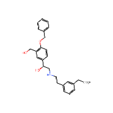 O=C(O)Cc1cccc(CCNC[C@@H](O)c2ccc(OCc3ccccc3)c(CO)c2)c1